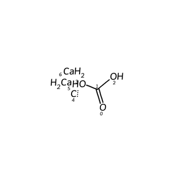 O=C(O)O.[C].[CaH2].[CaH2]